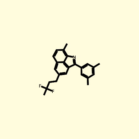 Cc1cc(C)cc(C2=Nc3c(C)ccc4cc(CCC(C)(F)F)cc2c34)c1